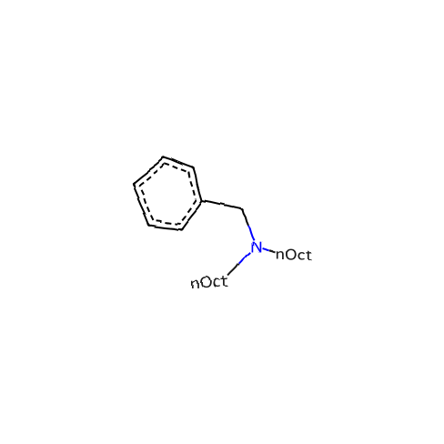 CCCCCCCCN(CCCCCCCC)Cc1ccccc1